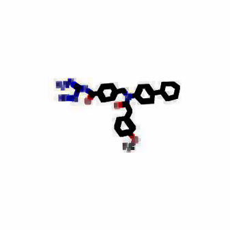 N=N/C(=N\N)NC(=O)c1ccc(CN(C(=O)Cc2cccc(OC(F)(F)F)c2)c2ccc(C3CCCCC3)cc2)cc1